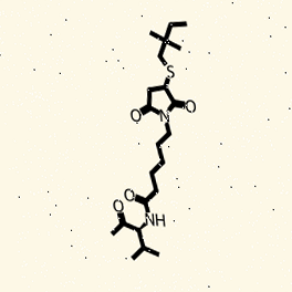 CCC(C)(C)CSC1CC(=O)N(CCCCCC(=O)N[C@H](C(C)=O)C(C)C)C1=O